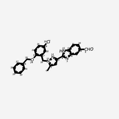 Cc1cc(-c2nc3cc(C=O)ccc3[nH]2)nn1Cc1cc(Cl)ccc1OCc1ccccc1